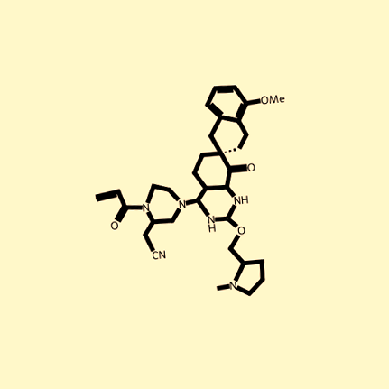 C=CC(=O)N1CCN(C2NC(OCC3CCCN3C)NC3C(=O)[C@@]4(CCc5c(cccc5OC)C4)CCC32)CC1CC#N